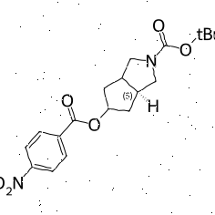 CC(C)(C)OC(=O)N1CC2CC(OC(=O)c3ccc([N+](=O)[O-])cc3)C[C@@H]2C1